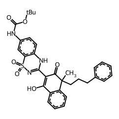 CC(C)(C)OC(=O)Nc1ccc2c(c1)S(=O)(=O)N=C(C1=C(O)c3ccccc3C(C)(CCCc3ccccc3)C1=O)N2